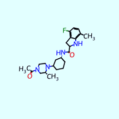 CC(=O)N1CCN(C2CCC[C@@H](NC(=O)C3Cc4c(F)ccc(C)c4N3)C2)[C@@H](C)C1